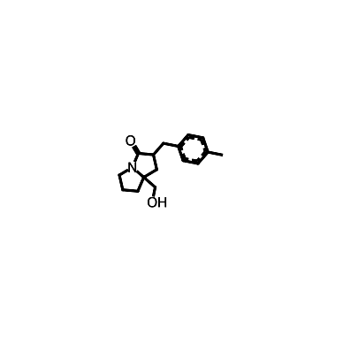 Cc1ccc(CC2CC3(CO)CCCN3C2=O)cc1